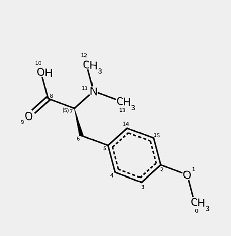 COc1ccc(C[C@@H](C(=O)O)N(C)C)cc1